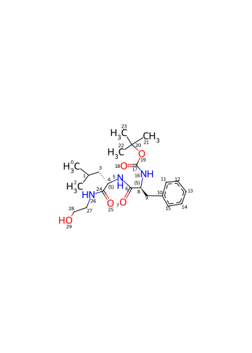 CC(C)C[C@H](NC(=O)[C@H](Cc1ccccc1)NC(=O)OC(C)(C)C)C(=O)NCCO